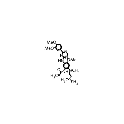 C=CC(=O)Nc1cc(Nc2ncnc(-c3ccc(OC)c(OC)c3)n2)c(OC)cc1N(C)CCN(C)C